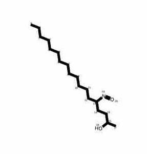 CCCCCCCCCCCCCC(CCC(C)O)N=O